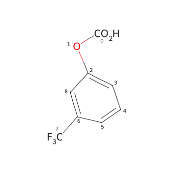 O=C(O)Oc1cccc(C(F)(F)F)c1